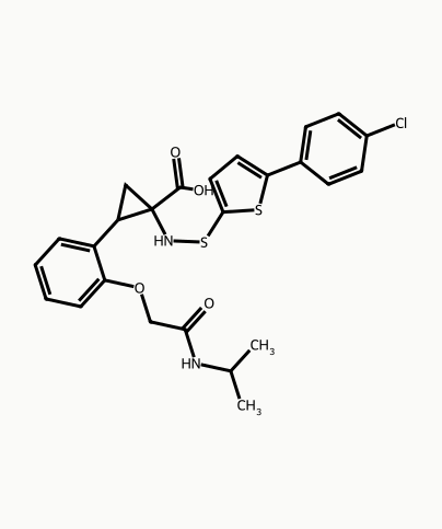 CC(C)NC(=O)COc1ccccc1C1CC1(NSc1ccc(-c2ccc(Cl)cc2)s1)C(=O)O